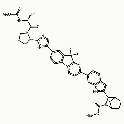 COC(=O)N[C@H](C(=O)N1CCC[C@H]1c1ncc(-c2ccc3c(c2)C(F)(F)c2cc(-c4ccc5nc(C6C7CCC(C7)N6C(=O)OC(C)(C)C)[nH]c5c4)ccc2-3)[nH]1)C(C)C